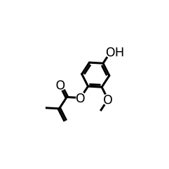 C=C(C)C(=O)Oc1ccc(O)cc1OC